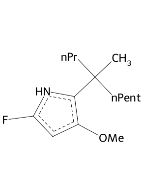 CCCCCC(C)(CCC)c1[nH]c(F)cc1OC